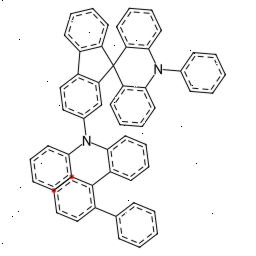 c1ccc(-c2ccccc2-c2ccccc2N(c2ccccc2)c2ccc3c(c2)C2(c4ccccc4-3)c3ccccc3N(c3ccccc3)c3ccccc32)cc1